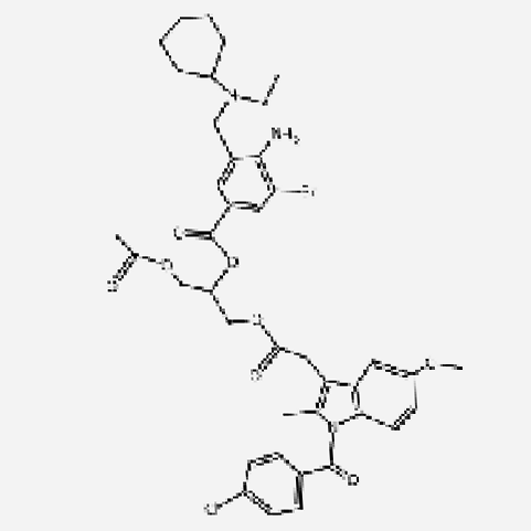 CCN(Cc1cc(C(=O)OC(COC(C)=O)COC(=O)Cc2c(C)n(C(=O)c3ccc(Cl)cc3)c3ccc(OC)cc23)cc(Br)c1N)C1CCCCC1